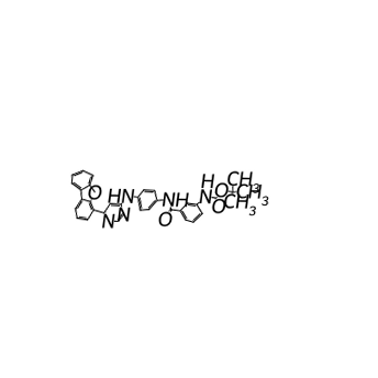 CC(C)(C)OC(=O)Nc1cccc(C(=O)Nc2ccc(Nc3cc(-c4cccc5c4oc4ccccc45)ncn3)cc2)c1